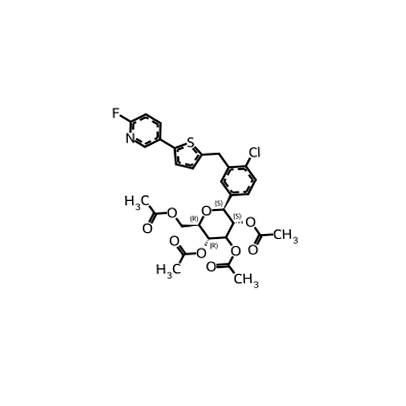 CC(=O)OC[C@H]1O[C@@H](c2ccc(Cl)c(Cc3ccc(-c4ccc(F)nc4)s3)c2)[C@H](OC(C)=O)C(OC(C)=O)[C@@H]1OC(C)=O